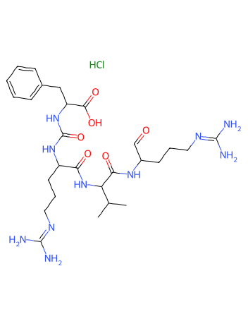 CC(C)C(NC(=O)C(CCCN=C(N)N)NC(=O)NC(Cc1ccccc1)C(=O)O)C(=O)NC(C=O)CCCN=C(N)N.Cl